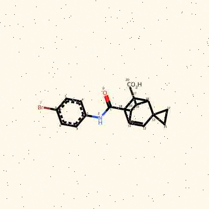 O=C(Nc1ccc(Br)cc1)C1C2=CC3(CC3)C(CC2)C1C(=O)O